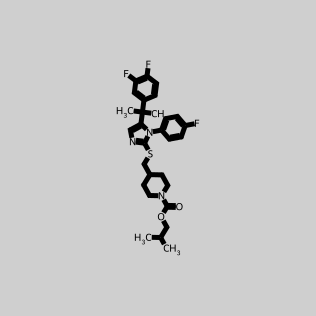 CC(C)COC(=O)N1CCC(CSc2ncc(C(C)(C)c3ccc(F)c(F)c3)n2-c2ccc(F)cc2)CC1